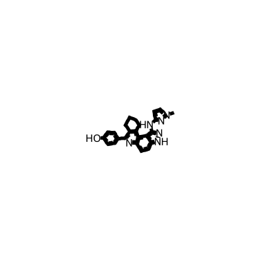 Cn1ccc(Nc2n[nH]c3ccc4nc(-c5ccc(O)cc5)c5c(c4c23)CCCC5)n1